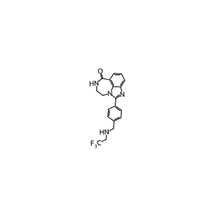 O=C1NCCn2c(-c3ccc(CNCC(F)(F)F)cc3)nc3cccc1c32